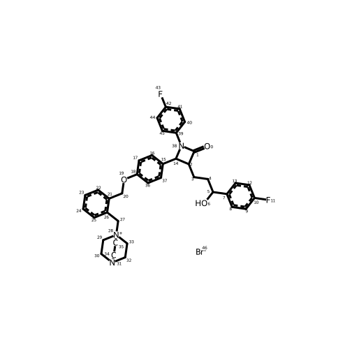 O=C1C(CCC(O)c2ccc(F)cc2)C(c2ccc(OCc3ccccc3C[N+]34CCN(CC3)CC4)cc2)N1c1ccc(F)cc1.[Br-]